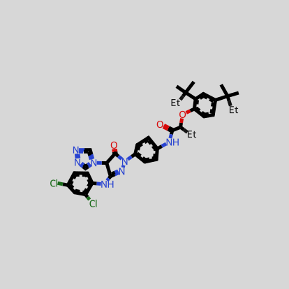 CCC(Oc1ccc(C(C)(C)CC)cc1C(C)(C)CC)C(=O)Nc1ccc(N2N=C(Nc3ccc(Cl)cc3Cl)C(n3cnnc3)C2=O)cc1